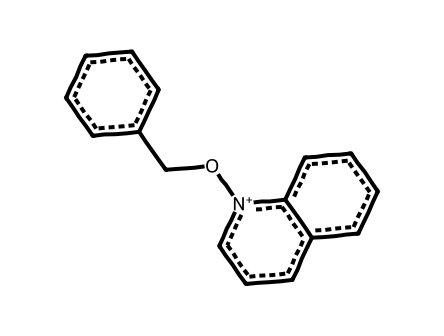 c1ccc(CO[n+]2cccc3ccccc32)cc1